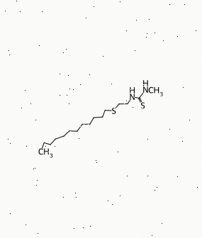 CCCCCCCCCCCCSCCNC(=S)NC